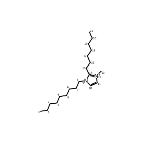 CCCCCCCCCn1cc[n+](C)c1CCCCCCC